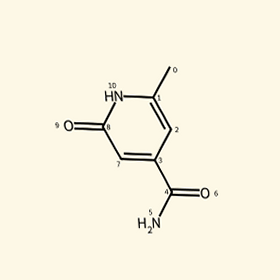 Cc1cc(C(N)=O)cc(=O)[nH]1